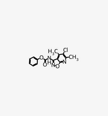 Cc1nc2onc(NC(=O)Oc3ccccc3)c2c(C)c1Cl